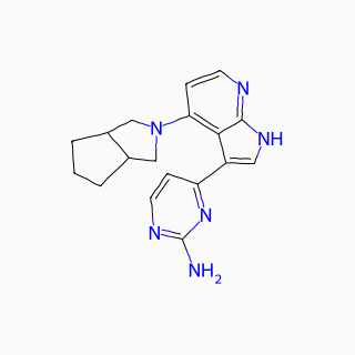 Nc1nccc(-c2c[nH]c3nccc(N4CC5CCCC5C4)c23)n1